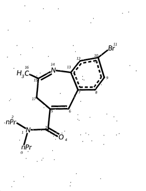 CCCN(CCC)C(=O)C1=Cc2ccc(Br)cc2N=C(C)C1